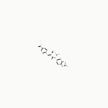 COC(=O)c1ccc(C=C(C#N)C(=O)N(c2ccc3nc(S)sc3c2)C(C)C)cc1